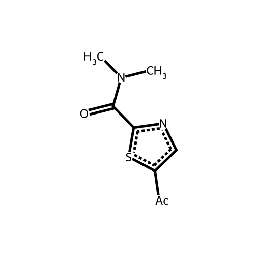 CC(=O)c1cnc(C(=O)N(C)C)s1